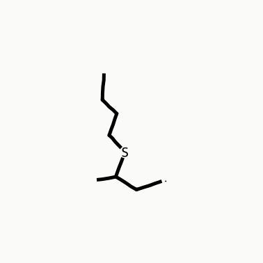 [CH2]CC(C)SCCCC